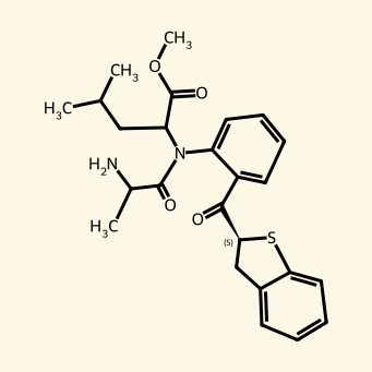 COC(=O)C(CC(C)C)N(C(=O)C(C)N)c1ccccc1C(=O)[C@@H]1Cc2ccccc2S1